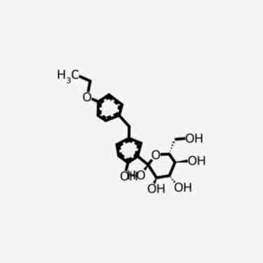 CCOc1ccc(Cc2ccc(O)c([C@]3(O)O[C@H](CO)[C@@H](O)[C@H](O)[C@H]3O)c2)cc1